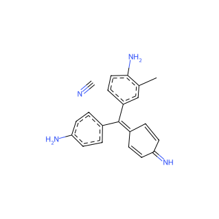 C#N.Cc1cc(C(=C2C=CC(=N)C=C2)c2ccc(N)cc2)ccc1N